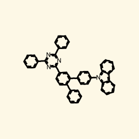 c1ccc(-c2nc(-c3ccccc3)nc(-c3ccc(-c4ccccc4)c(-c4ccc(-n5c6ccccc6c6ccccc65)cc4)c3)n2)cc1